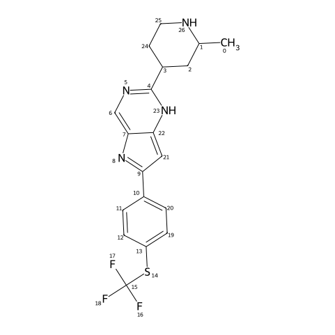 CC1CC(c2ncc3nc(-c4ccc(SC(F)(F)F)cc4)cc-3[nH]2)CCN1